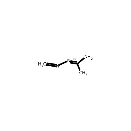 C=N/N=C(\C)N